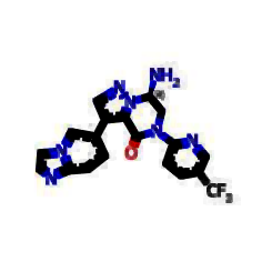 N[C@H]1CN(c2ccc(C(F)(F)F)cn2)C(=O)c2c(-c3ccc4nccn4c3)cnn21